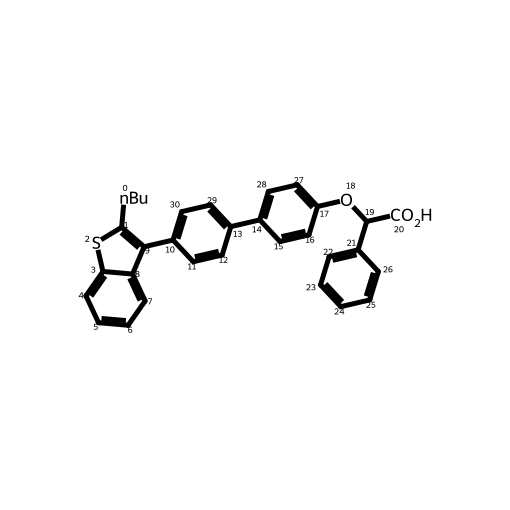 CCCCc1sc2ccccc2c1-c1ccc(-c2ccc(OC(C(=O)O)c3ccccc3)cc2)cc1